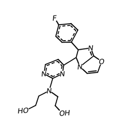 OCCN(CCO)c1nccc(C2C(c3ccc(F)cc3)N=C3OC=CN32)n1